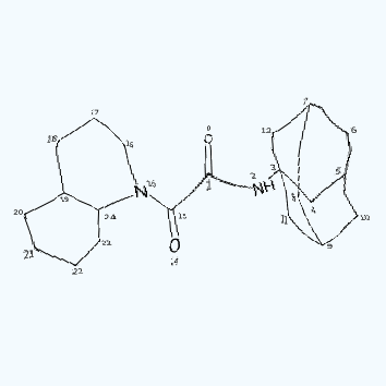 O=C(NC12CC3CC(CC(C3)C1)C2)C(=O)N1CCCC2CCCCC21